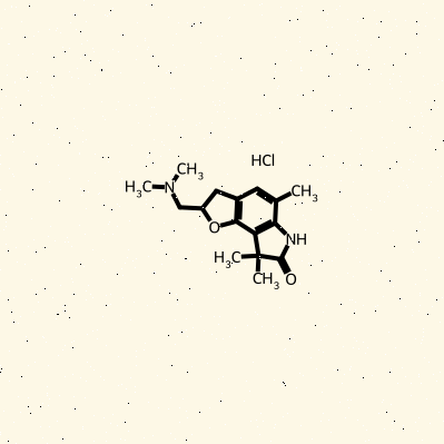 Cc1cc2c(c3c1NC(=O)C3(C)C)OC(CN(C)C)C2.Cl